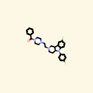 O=C(c1ccccc1)N1CCN(CCN2CCC3C(C2)c2cc(F)ccc2N3c2ccc(F)cc2)CC1